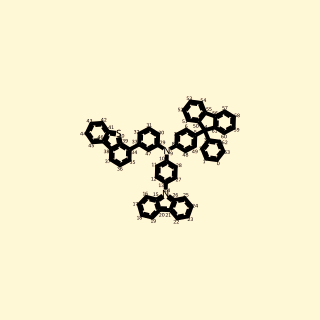 c1ccc(C2(c3ccc(N(c4ccc(-n5c6ccccc6c6ccccc65)cc4)c4cccc(-c5cccc6c5sc5ccccc56)c4)cc3)c3ccccc3-c3ccccc32)cc1